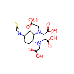 O=C(O)CN(CC(=O)O)[C@@H]1CCC(N=C=S)C[C@H]1N(CC(=O)O)CC(=O)O